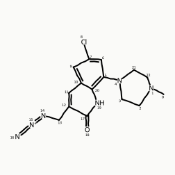 CN1CCN(c2cc(Cl)cc3cc(CN=[N+]=[N-])c(=O)[nH]c23)CC1